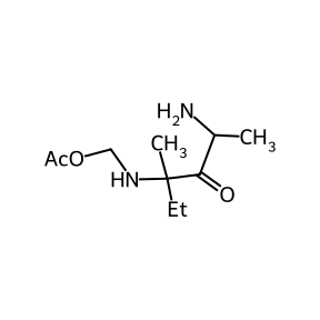 CCC(C)(NCOC(C)=O)C(=O)C(C)N